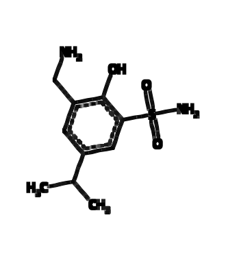 CC(C)c1cc(CN)c(O)c(S(N)(=O)=O)c1